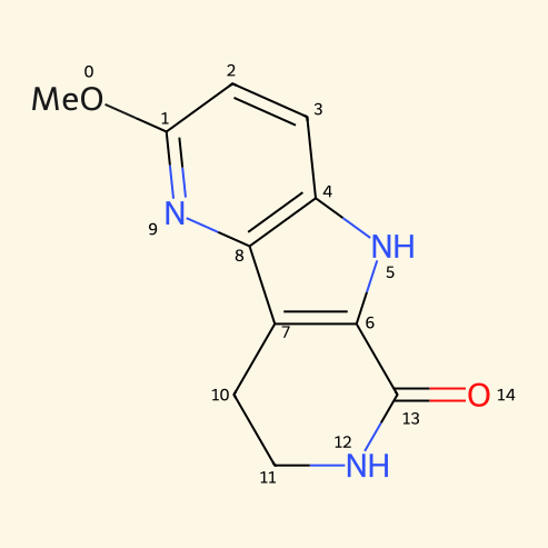 COc1ccc2[nH]c3c(c2n1)CCNC3=O